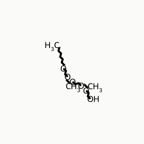 CCCCCCCCOCCOCC(C)OCCOCC(C)OCCO